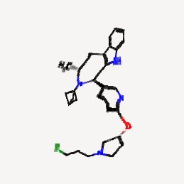 C[C@@H]1Cc2c([nH]c3ccccc23)[C@@H](c2ccc(O[C@@H]3CCN(CCCF)C3)nc2)N1C12CC(C1)C2